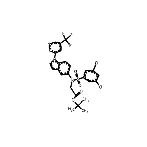 CC(C)(C)OC(=O)CN(c1ccc2c(ccn2-c2cc(C(F)(F)F)cnn2)c1)S(=O)(=O)c1cc(Cl)cc(Cl)c1